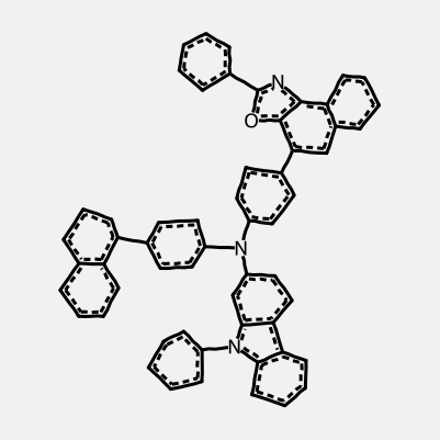 c1ccc(-c2nc3c(o2)c(-c2ccc(N(c4ccc(-c5cccc6ccccc56)cc4)c4ccc5c6ccccc6n(-c6ccccc6)c5c4)cc2)cc2ccccc23)cc1